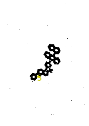 CC1(C)c2cc(-c3c4ccccc4c(-c4cccc5ccccc45)c4ccccc34)ccc2-c2c1ccc1c2ccc2c3ccccc3sc12